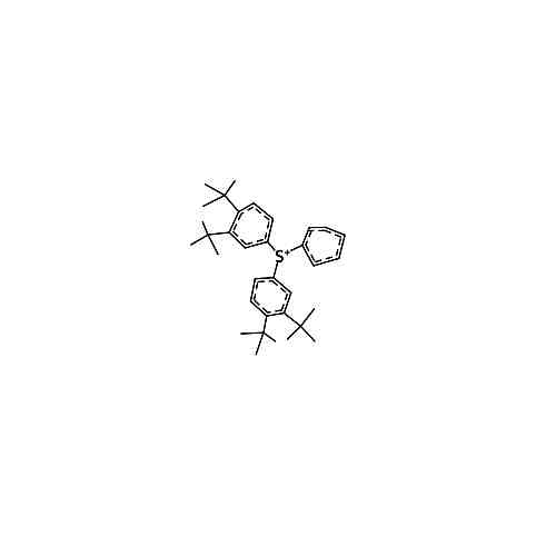 CC(C)(C)c1ccc([S+](c2ccccc2)c2ccc(C(C)(C)C)c(C(C)(C)C)c2)cc1C(C)(C)C